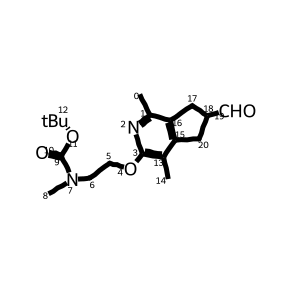 Cc1nc(OCCN(C)C(=O)OC(C)(C)C)c(C)c2c1CC(C=O)C2